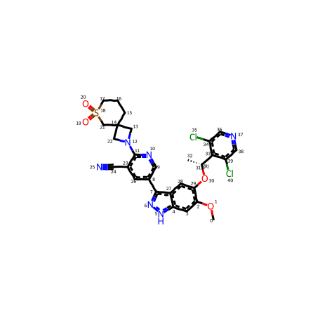 COc1cc2[nH]nc(-c3cnc(N4CC5(CCCS(=O)(=O)C5)C4)c(C#N)c3)c2cc1O[C@H](C)c1c(Cl)cncc1Cl